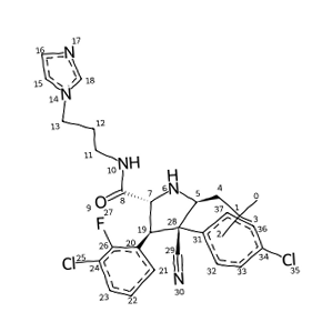 CC(C)(C)C[C@@H]1N[C@@H](C(=O)NCCCn2ccnc2)[C@H](c2cccc(Cl)c2F)[C@@]1(C#N)c1ccc(Cl)cc1